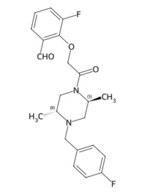 C[C@@H]1CN(C(=O)COc2c(F)cccc2C=O)[C@@H](C)CN1Cc1ccc(F)cc1